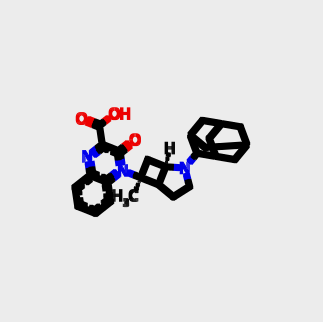 C[C@]1(n2c(=O)c(C(=O)O)nc3ccccc32)C[C@@H]2C1CCN2C1C2CC3CC(C2)CC1C3